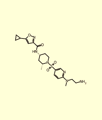 C[C@@H]1C[C@H](NC(=O)c2cc(C3CC3)on2)CCN1S(=O)(=O)c1ccc(N(C)CCN)nc1